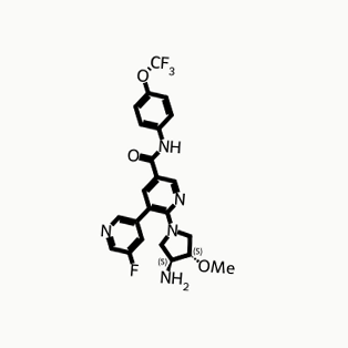 CO[C@H]1CN(c2ncc(C(=O)Nc3ccc(OC(F)(F)F)cc3)cc2-c2cncc(F)c2)C[C@@H]1N